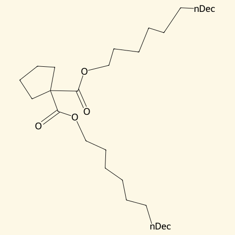 CCCCCCCCCCCCCCCCOC(=O)C1(C(=O)OCCCCCCCCCCCCCCCC)CCCC1